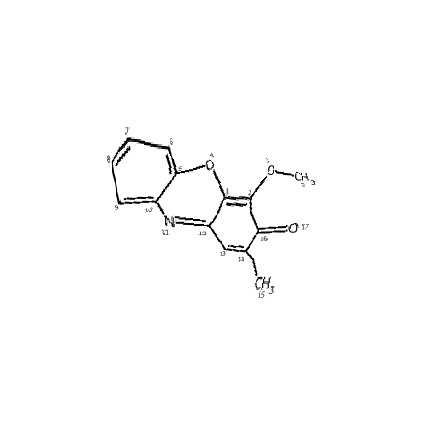 COc1c2oc3ccccc3nc-2cc(C)c1=O